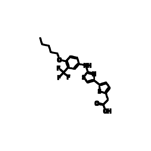 CCCCCOc1ccc(Nc2nc(-c3ccc(CC(=O)O)s3)cs2)cc1C(F)(F)F